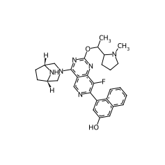 CC(Oc1nc(N2C[C@H]3CC[C@@H](C2)N3)c2cnc(-c3cc(O)cc4ccccc34)c(F)c2n1)C1CCCN1C